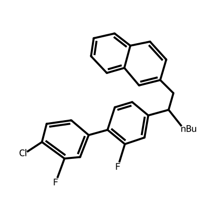 CCCCC(Cc1ccc2ccccc2c1)c1ccc(-c2ccc(Cl)c(F)c2)c(F)c1